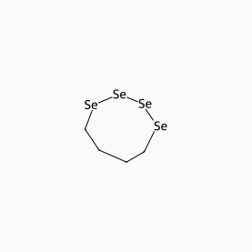 C1CC[Se][Se][Se][Se]C1